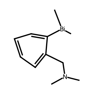 CN(C)Cc1cccc[c]1[Bi]([CH3])[CH3]